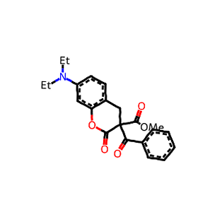 CCN(CC)c1ccc2c(c1)OC(=O)C(C(=O)OC)(C(=O)c1ccccc1)C2